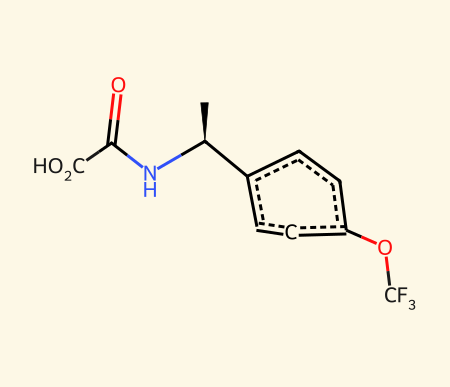 C[C@H](NC(=O)C(=O)O)c1ccc(OC(F)(F)F)cc1